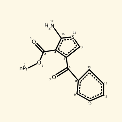 CCCOC(=O)c1c(C(=O)c2ccccc2)csc1N